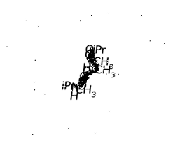 CC(C)NC[C@H](C)Oc1ccc2oc(C(=O)CCCC(C)NC[C@@H](C)Oc3ccc4oc(C(=O)C(C)C)cc4c3)cc2c1